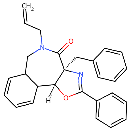 C=CCN1CC2C=CC=CC2[C@@H]2OC(c3ccccc3)=N[C@]2(Cc2ccccc2)C1=O